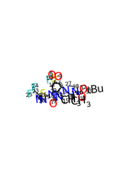 C[C@@H]1CN(c2cc(S(=O)(=O)F)cc3c2n(C)c(=O)n3-c2nnc(C(F)F)s2)CCN1C(=O)OC(C)(C)C